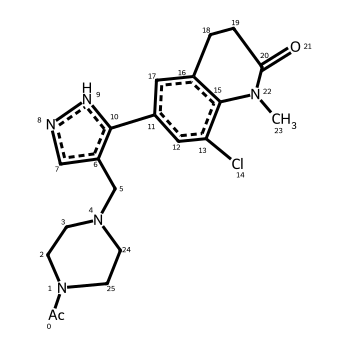 CC(=O)N1CCN(Cc2cn[nH]c2-c2cc(Cl)c3c(c2)CCC(=O)N3C)CC1